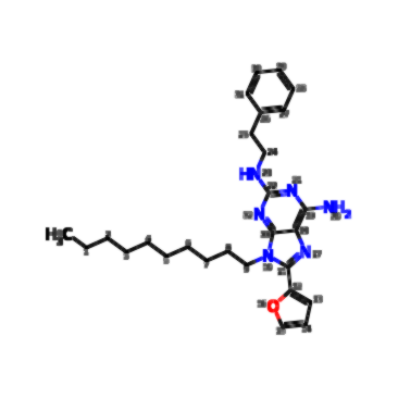 CCCCCCCCCCn1c(-c2ccco2)nc2c(N)nc(NCCc3ccccc3)nc21